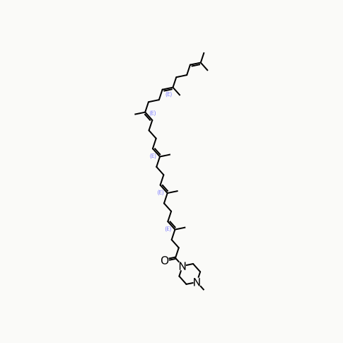 CC(C)=CCC/C(C)=C/CC/C(C)=C/CC/C=C(\C)CC/C=C(\C)CC/C=C(\C)CCC(=O)N1CCN(C)CC1